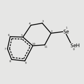 [SeH][Se]C1CCc2ccccc2C1